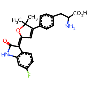 CC1(C)OC(=C2C(=O)Nc3cc(F)ccc32)C=C1c1ccc(CC(N)C(=O)O)cc1